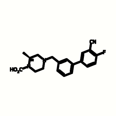 C[C@H]1CN(Cc2cccc(-c3ccc(F)c(C#N)c3)c2)CCN1C(=O)O